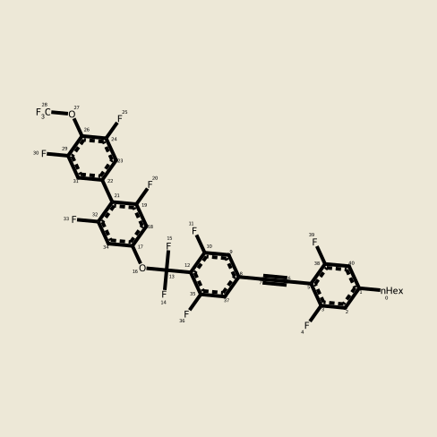 CCCCCCc1cc(F)c(C#Cc2cc(F)c(C(F)(F)Oc3cc(F)c(-c4cc(F)c(OC(F)(F)F)c(F)c4)c(F)c3)c(F)c2)c(F)c1